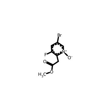 COC(=O)Cc1c(F)cc(Br)c[n+]1[O-]